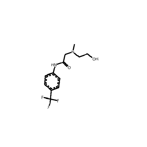 CN(CCO)CC(=O)Nc1ccc(C(F)(F)F)cc1